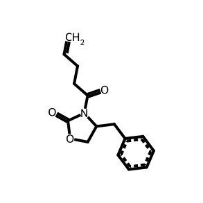 C=CCCC(=O)N1C(=O)OCC1Cc1ccccc1